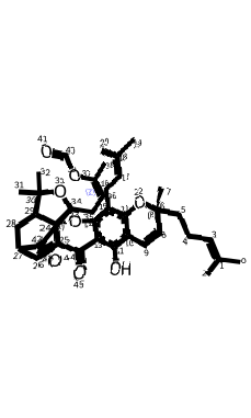 CC(C)=CCC[C@]1(C)C=Cc2c(O)c3c(c(CC=C(C)C)c2O1)O[C@]12C(=CC4CC1C(C)(C)OC2(C/C=C(/C)OC=O)C4=O)C3=O